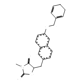 CN1C(=O)SC(Cc2ccc3cc(OCC4=CCCC=C4)ccc3c2)C1=O